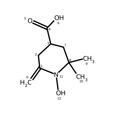 C=C1CC(C(=O)O)CC(C)(C)N1O